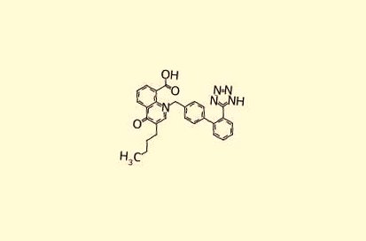 CCCCc1cn(Cc2ccc(-c3ccccc3-c3nnn[nH]3)cc2)c2c(C(=O)O)cccc2c1=O